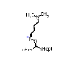 CCCCCCCC(CCCCCC)O/N=C\CCCN(C)C